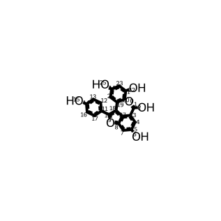 O=C(O)c1cc(O)cc2oc(-c3ccc(O)cc3)c(-c3cc(O)cc(O)c3)c12